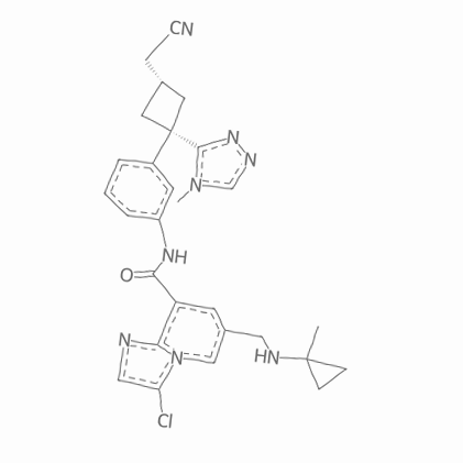 Cn1cnnc1[C@]1(c2cccc(NC(=O)c3cc(CNC4(C)CC4)cn4c(Cl)cnc34)c2)C[C@H](CC#N)C1